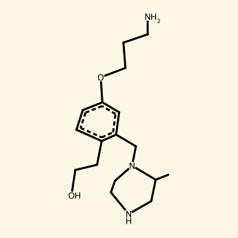 CC1CNCCN1Cc1cc(OCCCN)ccc1CCO